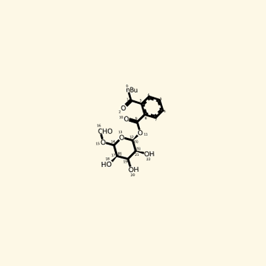 CCCCC(=O)c1ccccc1C(=O)O[C@@H]1OC(OC=O)[C@H](O)C(O)[C@@H]1O